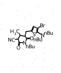 CCCCN1C(=O)C(C#N)C(C)C(Cc2cc(Br)c(N(CCCC)CCCC)s2)C1=O